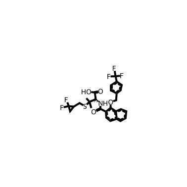 CC(C)(SCC1CC1(F)F)[C@H](NC(=O)c1ccc2ccccc2c1OCc1ccc(C(F)(F)F)cc1)C(=O)O